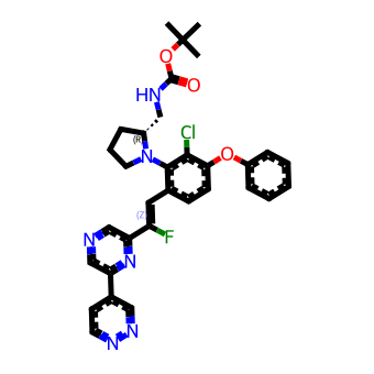 CC(C)(C)OC(=O)NC[C@H]1CCCN1c1c(/C=C(\F)c2cncc(-c3ccnnc3)n2)ccc(Oc2ccccc2)c1Cl